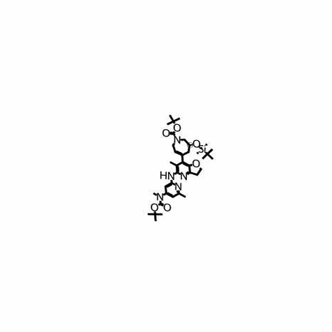 Cc1cc(N(C)C(=O)OC(C)(C)C)cc(Nc2nc3c(c(C4=CCN(C(=O)OC(C)(C)C)C[C@@H](O[Si](C)(C)C(C)(C)C)C4)c2C)OCC3)n1